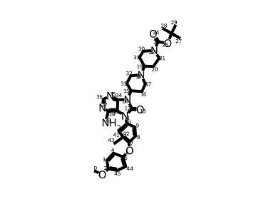 COc1ccc(Oc2ccc(-n3c(=O)n(C4CCN(C5CCN(C(=O)OC(C)(C)C)CC5)CC4)c4ncnc(N)c43)cc2C)cc1